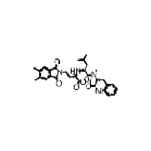 Cc1cc2c(cc1C)C(=O)N(CC[C@@H](N[C@@H](CC(C)C)C(=O)N(C)[C@@H](Cc1ccccc1)C(N)=O)C(=O)O)C2=O